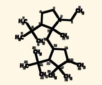 CCN1CCC(C(C)(C)C)C1(C)CC1CN(C)C(C)(C)C1C(C)(C)C